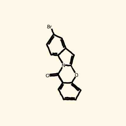 O=c1c2ccccc2oc2cc3cc(Br)ccc3n12